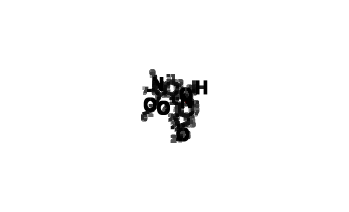 CCOC(=O)c1c(C)n(C)c2ccc(OC)c(CC3c4ccc(OC)cc4CCN3C)c12.I